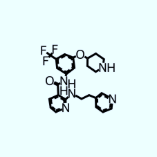 O=C(Nc1cc(OC2CCNCC2)cc(C(F)(F)F)c1)c1cccnc1NCCc1cccnc1